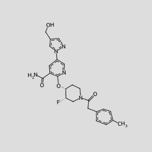 Cc1ccc(CC(=O)N2CC[C@@H](Oc3ncc(-n4cc(CO)cn4)cc3C(N)=O)[C@@H](F)C2)cc1